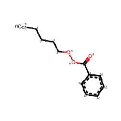 CCCCCCCCCCCCOOC(=O)c1ccccc1